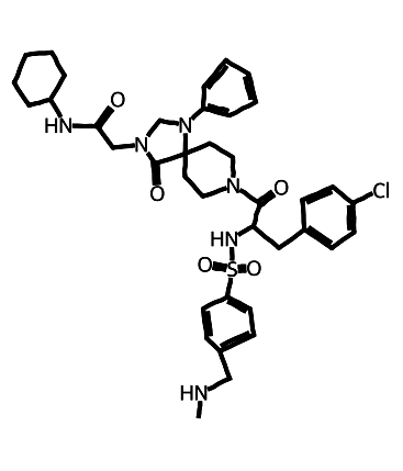 CNCc1ccc(S(=O)(=O)NC(Cc2ccc(Cl)cc2)C(=O)N2CCC3(CC2)C(=O)N(CC(=O)NC2CCCCC2)CN3c2ccccc2)cc1